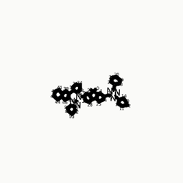 CC1(C)c2cc(-c3nc(-c4ccccc4)nc(-c4ccccc4)n3)ccc2-c2ccc(N3c4ccccc4-c4cc5ccccc5cc4-n4c3nc3ccccc34)cc21